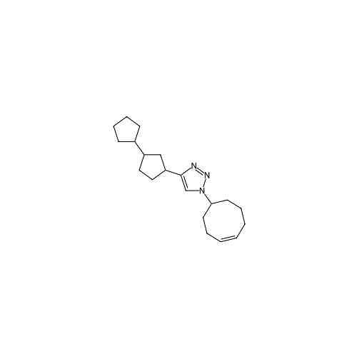 C1=C\CCC(n2cc(C3CCC(C4CCCC4)C3)nn2)CCC/1